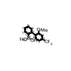 COc1cc(C(F)(F)F)ccc1-c1ccccc1B(O)O